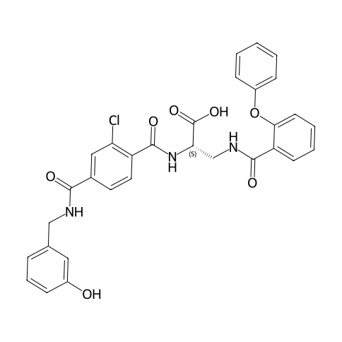 O=C(NCc1cccc(O)c1)c1ccc(C(=O)N[C@@H](CNC(=O)c2ccccc2Oc2ccccc2)C(=O)O)c(Cl)c1